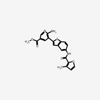 COC(=O)c1cnc(N)c(-c2cc3cc(NC(=O)c4occc4C)ccc3s2)c1